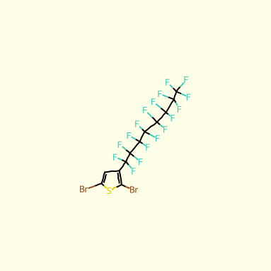 FC(F)(F)C(F)(F)C(F)(F)C(F)(F)C(F)(F)C(F)(F)C(F)(F)C(F)(F)c1cc(Br)sc1Br